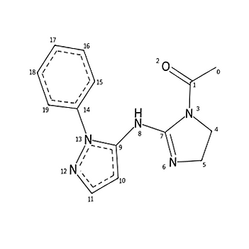 CC(=O)N1CCN=C1Nc1ccnn1-c1ccccc1